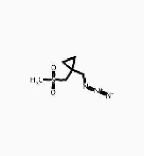 CS(=O)(=O)CC1(CN=[N+]=[N-])CC1